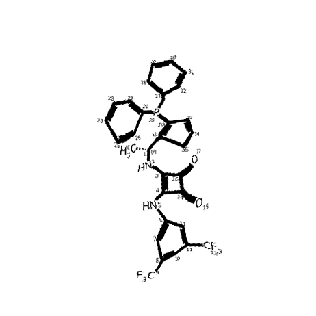 C[C@@H](Nc1c(Nc2cc(C(F)(F)F)cc(C(F)(F)F)c2)c(=O)c1=O)C1=C(P(c2ccccc2)c2ccccc2)C=CC1